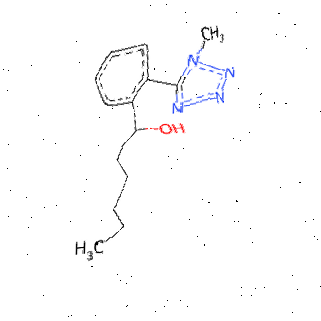 CCCCCC(O)c1ccccc1-c1nnnn1C